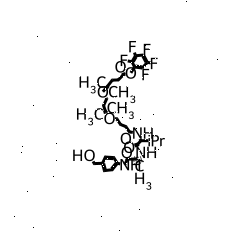 CC(C)C(NC(=O)CCCOC(C)(C)CCOC(C)(C)CCC(=O)Oc1c(F)c(F)c(F)c(F)c1F)C(=O)N[C@@H](C)C(=O)Nc1ccc(CO)cc1